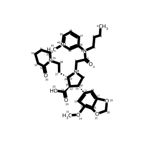 CCCCN(C(=O)CN1C[C@H](c2cc(OC)c3c(c2)OCO3)[C@@H](C(=O)O)[C@@H]1CCN1CCCCC1=O)c1ccc[n+](C)c1